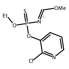 CCOP(=S)(/N=C/OC)Oc1cccnc1Cl